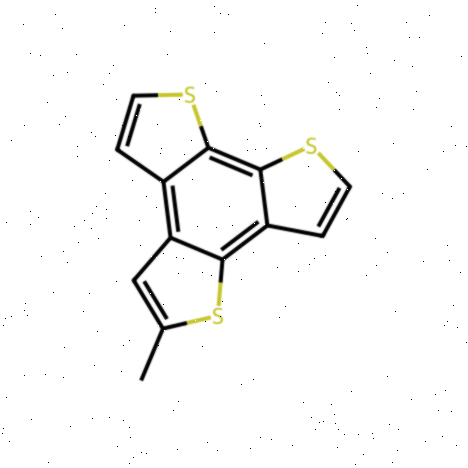 Cc1cc2c3ccsc3c3sccc3c2s1